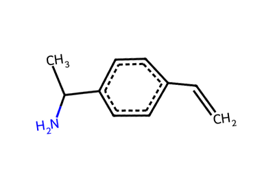 C=Cc1ccc(C(C)N)cc1